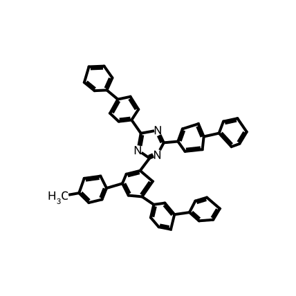 Cc1ccc(-c2cc(-c3cccc(-c4ccccc4)c3)cc(-c3nc(-c4ccc(-c5ccccc5)cc4)nc(-c4ccc(-c5ccccc5)cc4)n3)c2)cc1